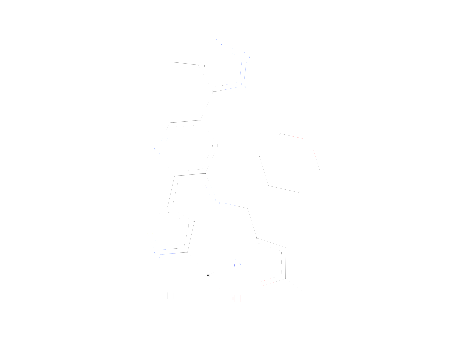 Cc1cc(C(C2CCOCC2)n2c3cc(-c4c(C)nnn4C)cnc3c3snc(C(C)(C)O)c32)no1